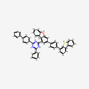 c1ccc(-c2ccc(-c3nc(-c4ccccc4)nc(-c4cc(-c5ccc(-c6cccc7c6sc6ccccc67)cc5)cc5oc6ccccc6c45)n3)cc2)cc1